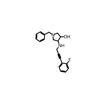 OC1CN(Cc2ccccc2)CC1NCC#Cc1ccccc1F